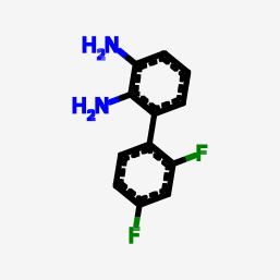 Nc1cccc(-c2ccc(F)cc2F)c1N